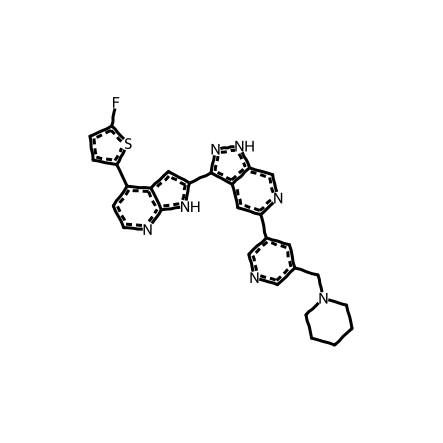 Fc1ccc(-c2ccnc3[nH]c(-c4n[nH]c5cnc(-c6cncc(CN7CCCCC7)c6)cc45)cc23)s1